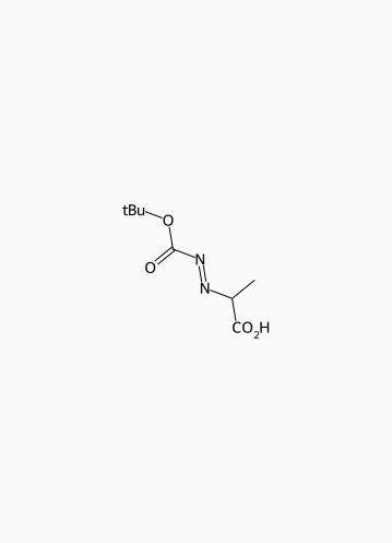 CC(N=NC(=O)OC(C)(C)C)C(=O)O